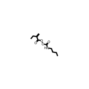 C=C(CC)C(=O)OOC(=O)NCCCC